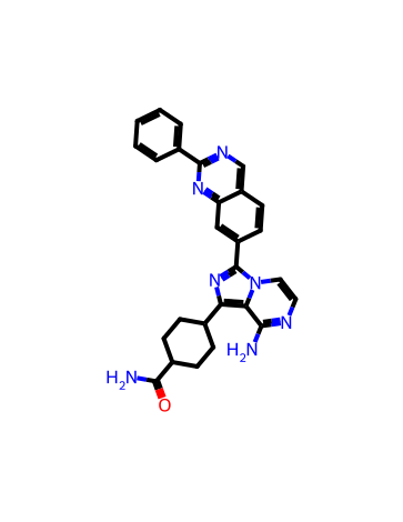 NC(=O)C1CCC(c2nc(-c3ccc4cnc(-c5ccccc5)nc4c3)n3ccnc(N)c23)CC1